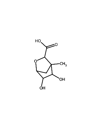 CC12CC(OC1C(=O)O)C(O)C2O